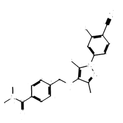 Cc1nn(-c2ccc(C#N)c(Cl)c2)c(C)c1OCc1ccc(C(=O)N(C)C)cc1